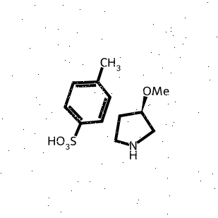 CO[C@@H]1CCNC1.Cc1ccc(S(=O)(=O)O)cc1